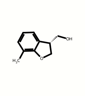 Cc1cccc2c1OC[C@H]2CO